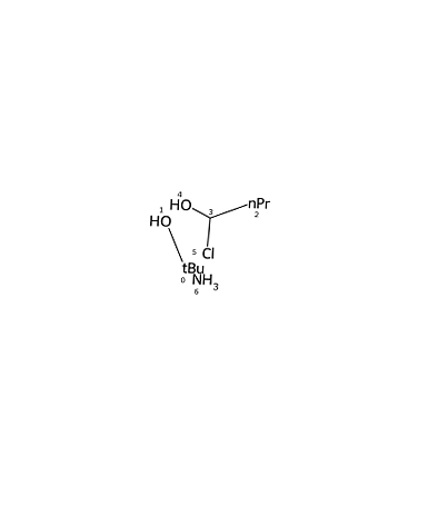 CC(C)(C)O.CCCC(O)Cl.N